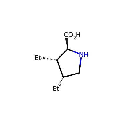 CC[C@H]1CN[C@H](C(=O)O)[C@H]1CC